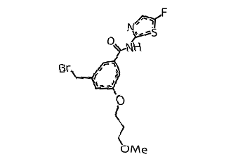 COCCCOc1cc(CBr)cc(C(=O)Nc2ncc(F)s2)c1